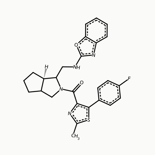 Cc1nc(C(=O)N2CC3CCC[C@H]3C2CNc2nc3ccccc3o2)c(-c2ccc(F)cc2)s1